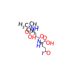 CC(C)(C)N[C@H](CCC(=O)N[C@H](CCC(=O)I)C(=O)O)C(=O)O